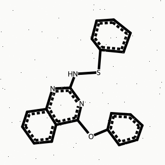 c1ccc(Oc2nc(NSc3ccccc3)nc3ccccc23)cc1